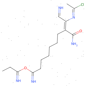 CCC(=N)OC(=N)CCCCCC/C(C(N)=O)=C(C=N)/N=C(\C)Cl